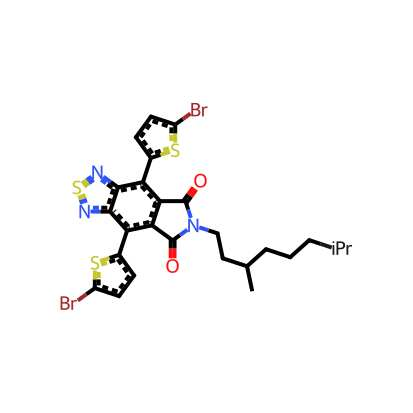 CC(C)CCCC(C)CCN1C(=O)c2c(c(-c3ccc(Br)s3)c3nsnc3c2-c2ccc(Br)s2)C1=O